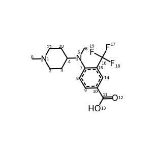 CN1CCC(N(C)c2ccc(C(=O)O)cc2C(F)(F)F)CC1